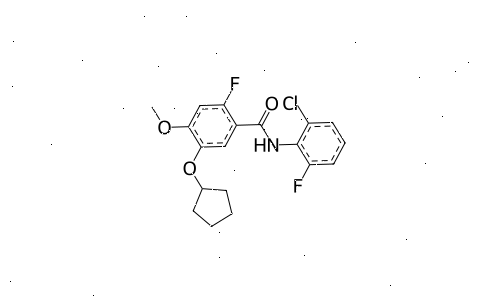 COc1cc(F)c(C(=O)Nc2c(F)cccc2Cl)cc1OC1CCCC1